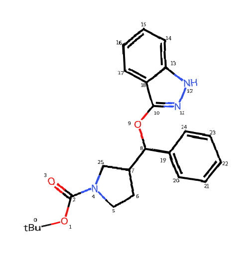 CC(C)(C)OC(=O)N1CCC(C(Oc2n[nH]c3ccccc23)c2ccccc2)C1